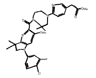 COC(=O)Cc1ccc(N2CCN(C(=O)c3nc4c(cc3OC)N(c3ccc(Cl)c(F)c3)CC4(C)C)C(C)(C)C2)nc1